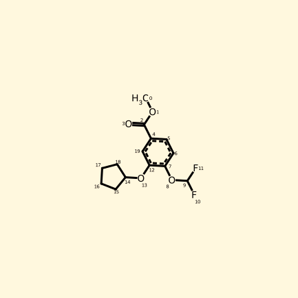 COC(=O)c1ccc(OC(F)F)c(OC2CCCC2)c1